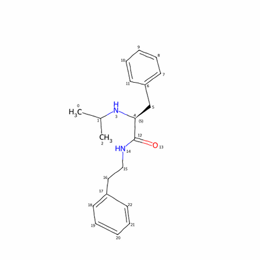 CC(C)N[C@@H](Cc1ccccc1)C(=O)NCCc1ccccc1